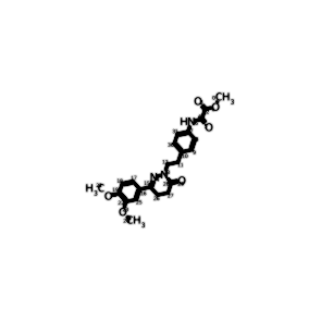 COC(=O)C(=O)Nc1ccc(CCN2N=C(c3ccc(OC)c(OC)c3)CCC2=O)cc1